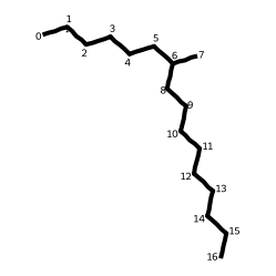 C[CH]CCCCC(C)CCCCCCCCC